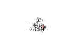 CSCC[C@H](NC(=O)C(C)(C)NC(=O)[C@@H](CC(=O)O)NC(=O)[C@H](Cc1cccc2ccccc12)NC(=O)[C@@H]1CCCN1C(=O)C(C)(C)N)C(=O)N[C@@H](CCCCNC(=N)N)C(=O)N[C@@H](CC(=O)O)C(=O)N[C@@H](Cc1c[nH]c2ccccc12)C(=O)N[C@@H](CO)C(=O)N[C@H](C(=O)N1CCC[C@H]1C(=O)N1C[C@H](O)C[C@H]1C(=O)N[C@@H](Cc1c[nH]c2ccccc12)C(=O)NC(C)(C)C(=O)O)[C@@H](C)O